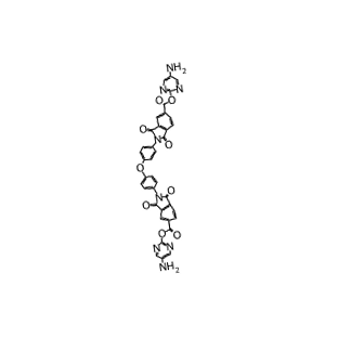 Nc1cnc(OC(=O)c2ccc3c(c2)C(=O)N(c2ccc(Oc4ccc(N5C(=O)c6ccc(C(=O)Oc7ncc(N)cn7)cc6C5=O)cc4)cc2)C3=O)nc1